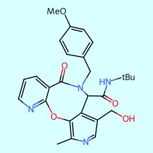 COc1ccc(CN2C(=O)c3cccnc3Oc3c(C)ncc(CO)c3C2C(=O)NC(C)(C)C)cc1